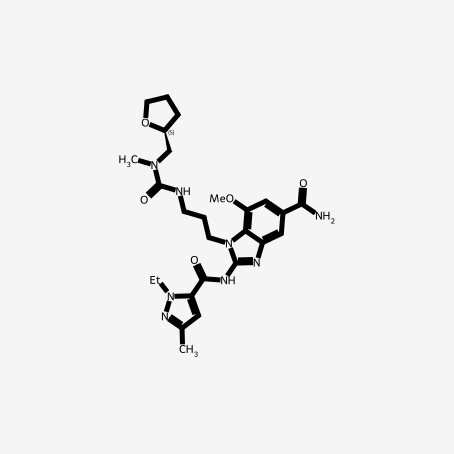 CCn1nc(C)cc1C(=O)Nc1nc2cc(C(N)=O)cc(OC)c2n1CCCNC(=O)N(C)C[C@@H]1CCCO1